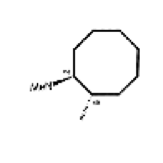 CN[C@H]1CCCCCC[C@@H]1C